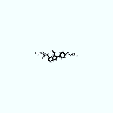 CCOc1ccc(-c2cc3scc(CC(=O)OC)n3c2C=O)cc1